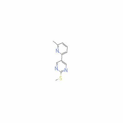 CSc1ncc(-c2cccc(C)n2)cn1